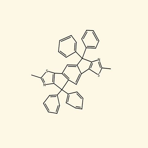 Cc1nc2c(s1)-c1cc3c(cc1C2(c1ccccc1)c1ccccc1)-c1sc(C)nc1C3(c1ccccc1)c1ccccc1